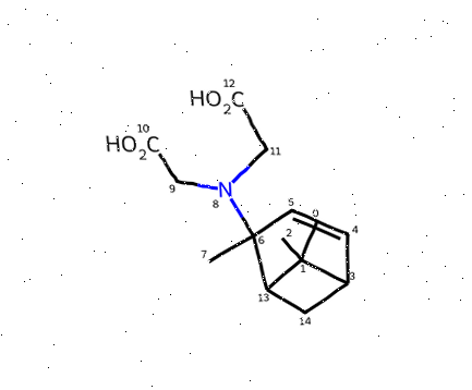 CC1(C)C2C=CC(C)(N(CC(=O)O)CC(=O)O)C1C2